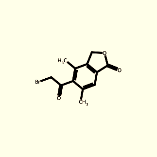 Cc1cc2c(c(C)c1C(=O)CBr)COC2=O